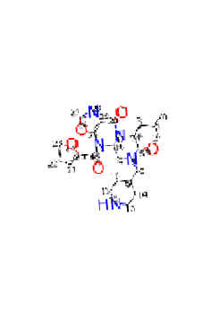 CC(C)C[C@H]1C(=O)N(CC2CCNCC2)CC2N(C(=O)c3ccco3)c3ocnc3C(=O)N21